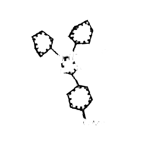 COc1ccc(-c2nn(-c3ccccc3)[n+](-c3ccccc3)n2)cc1.[Cl-]